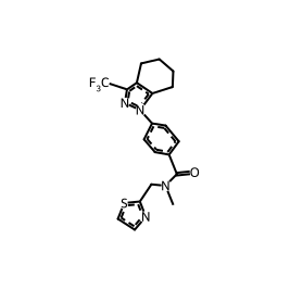 CN(Cc1nccs1)C(=O)c1ccc(-n2nc(C(F)(F)F)c3c2CCCC3)cc1